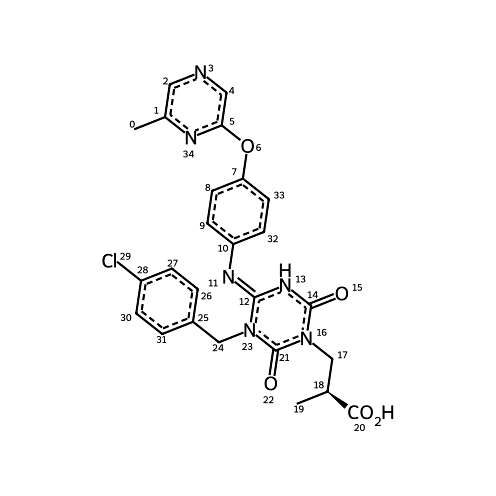 Cc1cncc(Oc2ccc(/N=c3\[nH]c(=O)n(C[C@H](C)C(=O)O)c(=O)n3Cc3ccc(Cl)cc3)cc2)n1